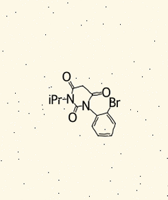 CC(C)N1C(=O)CC(=O)N(c2ccccc2Br)C1=O